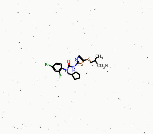 CC(CSc1cnc(NC(=O)N(CC2CCCC2)c2ccc(Br)cc2F)s1)C(=O)O